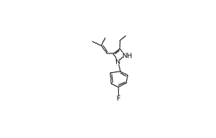 CCc1[nH]n(-c2ccc(F)cc2)c1C=C(C)C